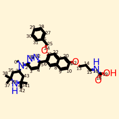 CN(c1ccc(-c2cc3ccc(OCCCNC(=O)O)cc3cc2OCc2ccccc2)nn1)C1CC(C)(C)NC(C)(C)C1